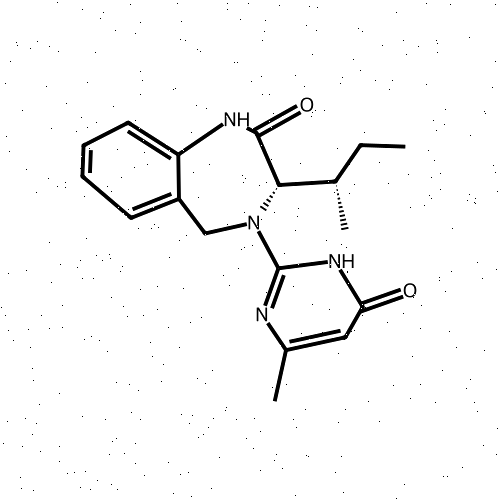 CC[C@H](C)[C@H]1C(=O)Nc2ccccc2CN1c1nc(C)cc(=O)[nH]1